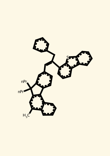 CCCC1(CCC)c2cc(/C=C(/Cc3ccccc3)c3cccc4c3sc3ccccc34)ccc2-c2c1cc(C)c1ccccc21